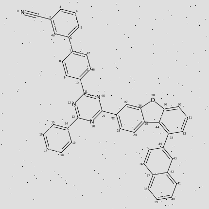 N#Cc1cccc(-c2ccc(-c3nc(-c4ccccc4)nc(-c4ccc5c(c4)oc4cccc(-c6ccc7ccccc7c6)c45)n3)cc2)c1